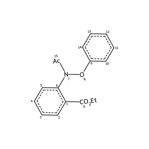 CCOC(=O)c1ccccc1N(Oc1ccccc1)C(C)=O